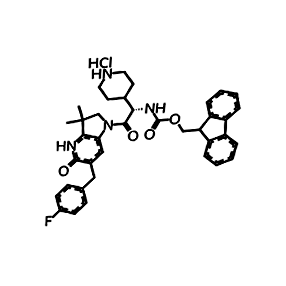 CC1(C)CN(C(=O)[C@@H](NC(=O)OCC2c3ccccc3-c3ccccc32)C2CCNCC2)c2cc(Cc3ccc(F)cc3)c(=O)[nH]c21.Cl